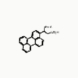 CCCCCC(CC(=O)O)c1ccc2c3cccc4cccc(c5cccc1c52)c43